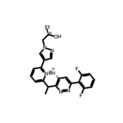 CC[C@@H](O)Cn1cc(-c2cccc(C(C)c3nnc(-c4c(F)cccc4F)cc3[C@@H](C)CC)n2)cn1